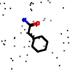 [N]C(=O)[CH]C1CCCCC1